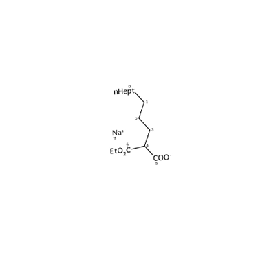 CCCCCCCCCCC(C(=O)[O-])C(=O)OCC.[Na+]